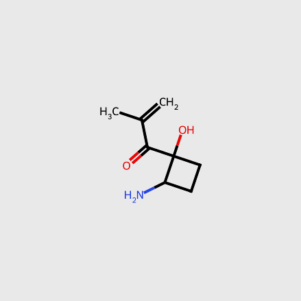 C=C(C)C(=O)C1(O)CCC1N